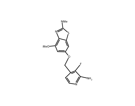 CNc1nc2c(OC)cc(OCc3ccnc(N)c3F)cc2s1